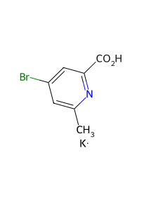 Cc1cc(Br)cc(C(=O)O)n1.[K]